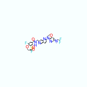 CN(CC(F)F)c1cnc2c(c1)OCCN2c1ccc2cnc(CNC(=O)c3cc(F)c4c(c3)S(=O)(=O)[C@@H](F)CCO4)cc2n1